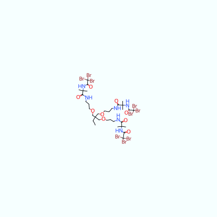 CCC(COCCCNC(=O)C(C)(C)NC(=O)C(Br)(Br)Br)(COCCCNC(=O)C(C)(C)NC(=O)C(Br)(Br)Br)COCCCNC(=O)C(C)(C)NC(=O)C(Br)(Br)Br